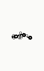 O=C(NCC1(O)CCC2(CC1)OCCO2)c1ccc(OCc2ccccc2)cc1